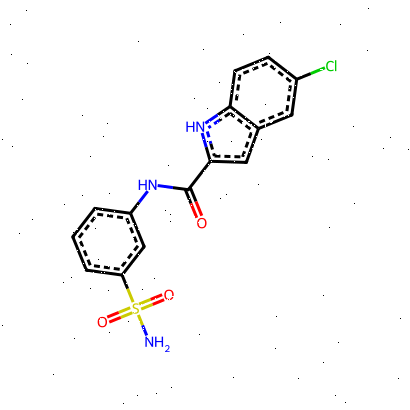 NS(=O)(=O)c1cccc(NC(=O)c2cc3cc(Cl)ccc3[nH]2)c1